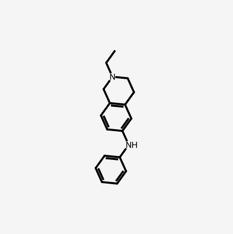 CCN1CCc2cc(Nc3ccccc3)ccc2C1